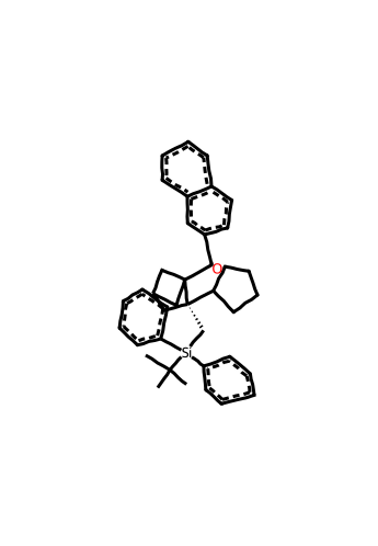 CC(C)(C)[Si](C[C@]1(C2CCCC2)CC2CC1(C(=O)c1ccc3ccccc3c1)C2)(c1ccccc1)c1ccccc1